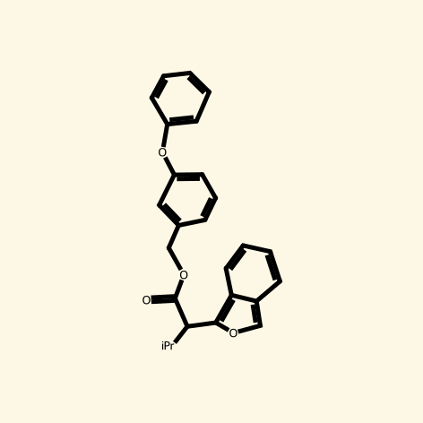 CC(C)C(C(=O)OCc1cccc(Oc2ccccc2)c1)c1occ2ccccc12